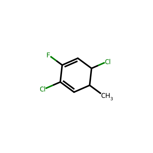 CC1C=C(Cl)C(F)=CC1Cl